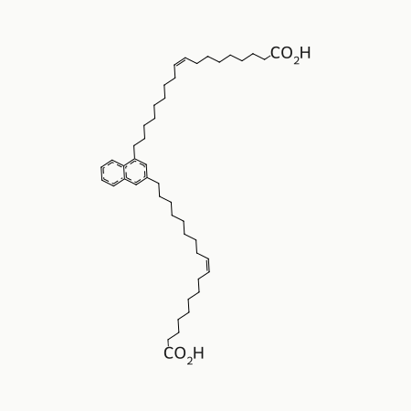 O=C(O)CCCCCCC/C=C\CCCCCCCCc1cc(CCCCCCCC/C=C\CCCCCCCC(=O)O)c2ccccc2c1